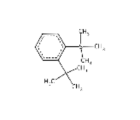 CC(C)(C)c1ccccc1S(C)(C)C